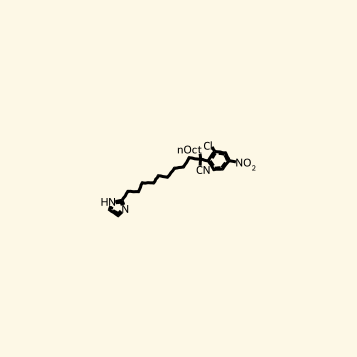 CCCCCCCCC(C#N)(CCCCCCCCCc1ncc[nH]1)c1ccc([N+](=O)[O-])cc1Cl